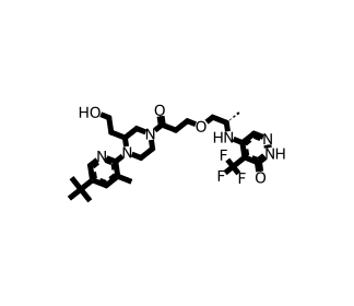 Cc1cc(C(C)(C)C)cnc1N1CCN(C(=O)CCOC[C@H](C)Nc2cn[nH]c(=O)c2C(F)(F)F)CC1CCO